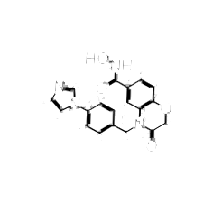 O=C(NO)c1ccc2c(c1)N(Cc1ccc(-n3ccnc3)cc1)C(=O)CO2